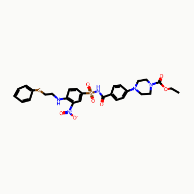 CCOC(=O)N1CCN(c2ccc(C(=O)NS(=O)(=O)c3ccc(NCCSc4ccccc4)c([N+](=O)[O-])c3)cc2)CC1